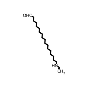 C=CNCCCCCCCCCCCCCCCCCC=O